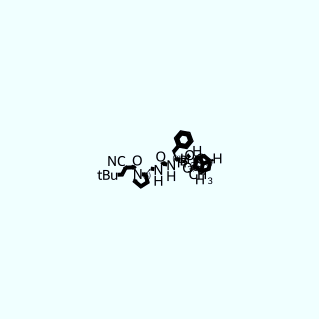 CC(C)(C)CC(C#N)C(=O)N1CCC[C@H]1CNC(=O)N[C@@H](Cc1ccccc1)B1O[C@@H]2C[C@@H]3C[C@@H](C3(C)C)[C@]2(C)O1